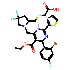 CCOC(=O)C1=C(CN2CC(F)(F)CC2CSCC(=O)O)NC(c2nccs2)=NC1c1ccc(F)cc1Br